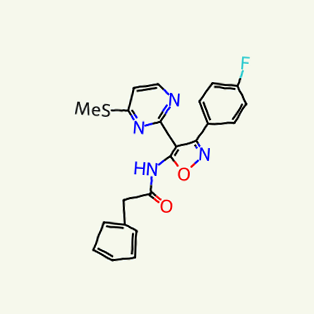 CSc1ccnc(-c2c(-c3ccc(F)cc3)noc2NC(=O)Cc2ccccc2)n1